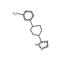 Cc1cccc(C2CCN(c3ccn[nH]3)CC2)c1